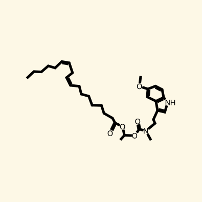 CCCCC/C=C\C/C=C\CCCCCCCC(=O)OC(C)OC(=O)N(C)CCc1c[nH]c2ccc(OC)cc12